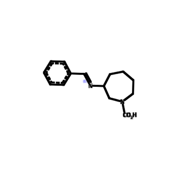 O=C(O)N1CCCCC(/N=C/c2ccccc2)C1